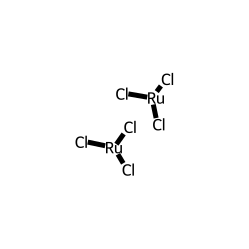 [Cl][Ru]([Cl])[Cl].[Cl][Ru]([Cl])[Cl]